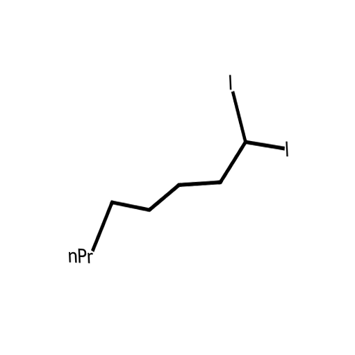 CCCCCCCC(I)I